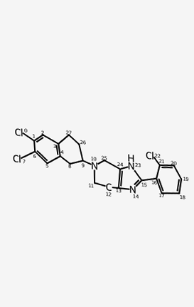 Clc1cc2c(cc1Cl)CC(N1CCc3nc(-c4ccccc4Cl)[nH]c3C1)CC2